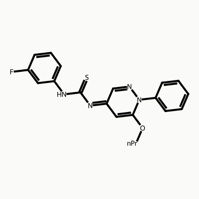 CCCOc1cc(=NC(=S)Nc2cccc(F)c2)cnn1-c1ccccc1